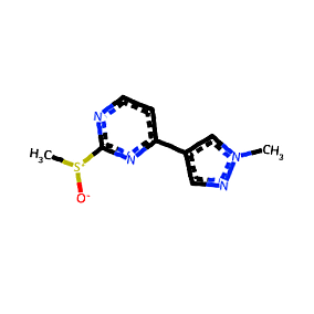 Cn1cc(-c2ccnc([S+](C)[O-])n2)cn1